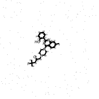 Cc1ccc2c(N3CCN(CC(=O)CC(C)(C)F)CC3)nc(-c3ccccc3O)nc2c1